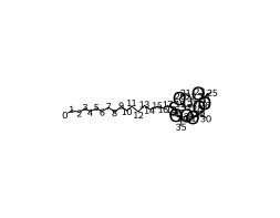 CCCCCCCCCCCCCCCCCCS[C@@H]1OC[C@@H](OC(C)=O)[C@H](OC(C)=O)[C@H]1OC(C)=O